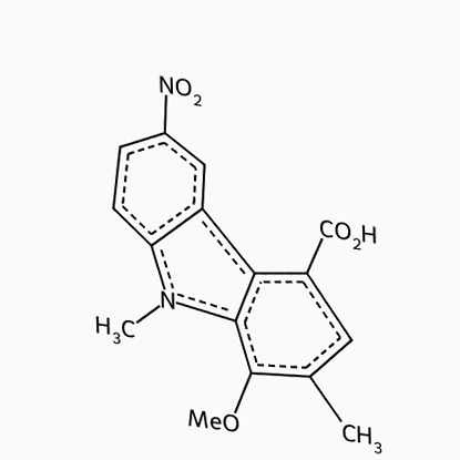 COc1c(C)cc(C(=O)O)c2c3cc([N+](=O)[O-])ccc3n(C)c12